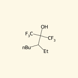 CCCCC(CC)C(O)(C(F)(F)F)C(F)(F)F